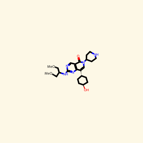 COCC(COC)Nc1ncc2c(=O)n(C3CCNCC3)cc([C@H]3CC[C@H](O)CC3)c2n1